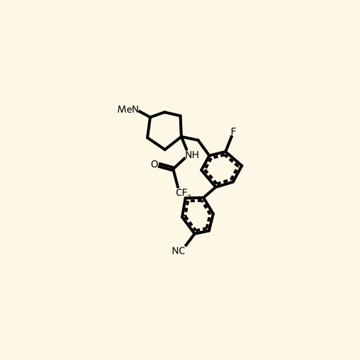 CNC1CCC(Cc2cc(-c3ccc(C#N)cc3)ccc2F)(NC(=O)C(F)(F)F)CC1